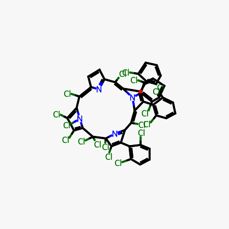 ClC1=C2C=CC(=N2)C(Cl)=c2c(-c3c(Cl)cccc3Cl)c(-c3c(Cl)cccc3Cl)c(n2-c2c(Cl)cccc2Cl)=C(Cl)C2=NC(Cl)(C(Cl)=C2c2c(Cl)cccc2Cl)C(Cl)(Cl)c2c(Cl)c(Cl)c1n2Cl